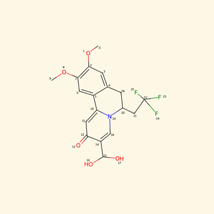 COc1cc2c(cc1OC)-c1cc(=O)c(C(O)O)cn1C(CC(F)(F)F)C2